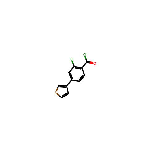 O=C(Cl)c1ccc(-c2ccsc2)cc1Cl